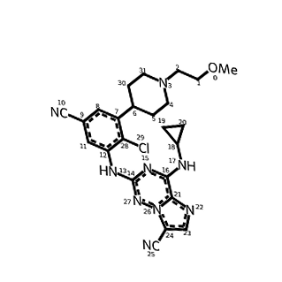 COCCN1CCC(c2cc(C#N)cc(Nc3nc(NC4CC4)c4ncc(C#N)n4n3)c2Cl)CC1